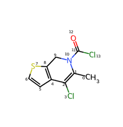 CC1=C(Cl)c2ccsc2CN1C(=O)Cl